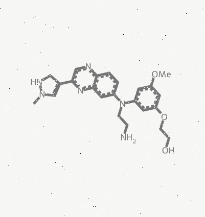 COc1cc(OCCO)cc(N(CCN)c2ccc3ncc(C4=CN(C)NC4)nc3c2)c1